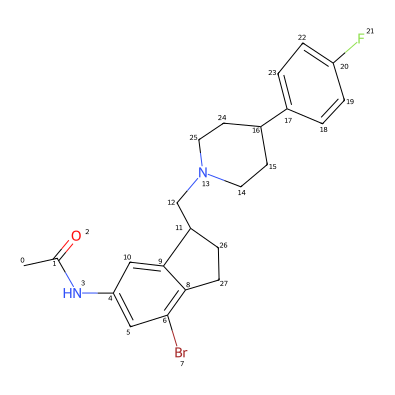 CC(=O)Nc1cc(Br)c2c(c1)C(CN1CCC(c3ccc(F)cc3)CC1)CC2